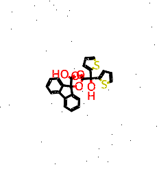 O=C(OC1(C(=O)O)c2ccccc2-c2ccccc21)C(O)(c1cccs1)c1cccs1